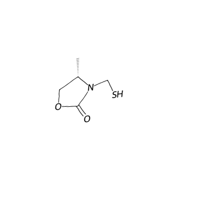 C[C@H]1COC(=O)N1CS